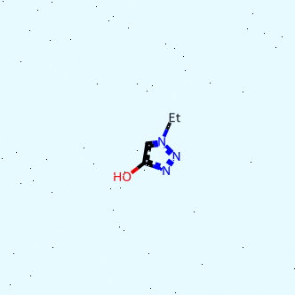 CCn1cc(O)nn1